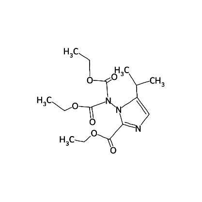 CCOC(=O)c1ncc(C(C)C)n1N(C(=O)OCC)C(=O)OCC